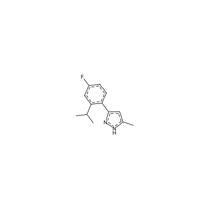 Cc1cc(-c2ccc(F)cc2C(C)C)n[nH]1